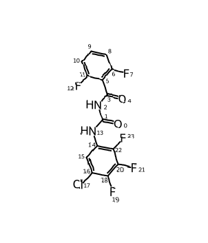 O=C(NC(=O)c1c(F)cccc1F)Nc1cc(Cl)c(F)c(F)c1F